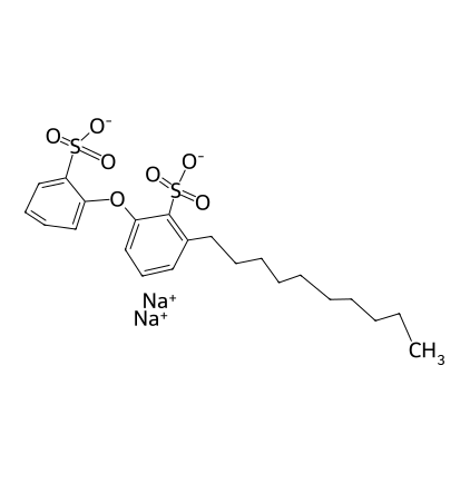 CCCCCCCCCCc1cccc(Oc2ccccc2S(=O)(=O)[O-])c1S(=O)(=O)[O-].[Na+].[Na+]